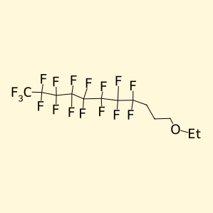 CCOCCCC(F)(F)C(F)(F)C(F)(F)C(F)(F)C(F)(F)C(F)(F)C(F)(F)C(F)(F)F